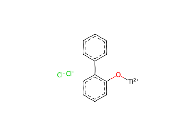 [Cl-].[Cl-].[Ti+2][O]c1ccccc1-c1ccccc1